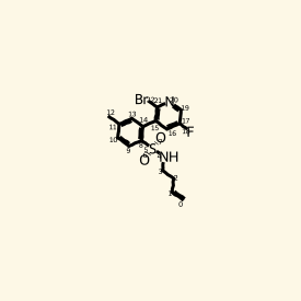 C=CCCNS(=O)(=O)c1ccc(C)cc1-c1cc(F)cnc1Br